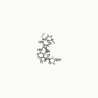 CC[C@@H](Nc1c(Nc2ccc(Cl)c(S(=O)(=O)N3CC(O)CO3)c2O)c(=O)c1=O)[C@H]1CC[C@@H](C)O1